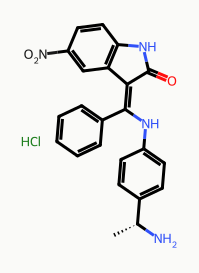 C[C@@H](N)c1ccc(N/C(=C2\C(=O)Nc3ccc([N+](=O)[O-])cc32)c2ccccc2)cc1.Cl